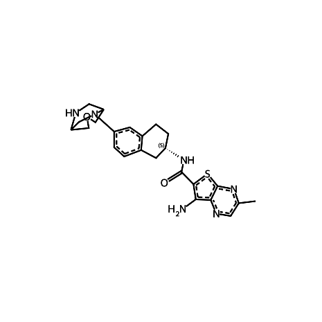 Cc1cnc2c(N)c(C(=O)N[C@H]3CCc4cc(N5CC6COCC5CN6)ccc4C3)sc2n1